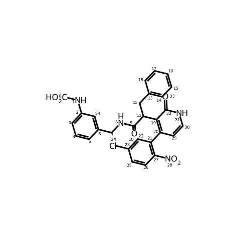 O=C(O)Nc1cccc(CNC(=O)C(Cc2ccccc2)c2c(-c3cc(Cl)ccc3[N+](=O)[O-])cc[nH]c2=O)c1